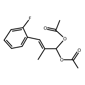 CC(=O)OC(OC(C)=O)/C(C)=C/c1ccccc1F